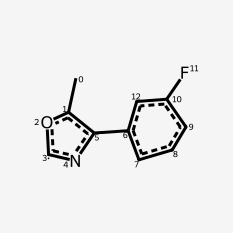 Cc1o[c]nc1-c1cccc(F)c1